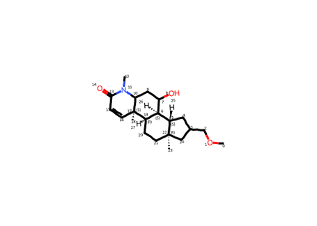 COCC1C[C@H]2[C@@H]3C(O)CC4N(C)C(=O)C=C[C@]4(C)[C@@H]3CC[C@]2(C)C1